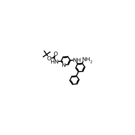 CC(C)(C)OC(=O)Nc1ccc(Nc2cc(-c3ccccc3)ccc2N)cn1